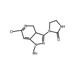 CCC(C)N1N=C(N2CCNC2=O)C2CN=C(Cl)C=C21